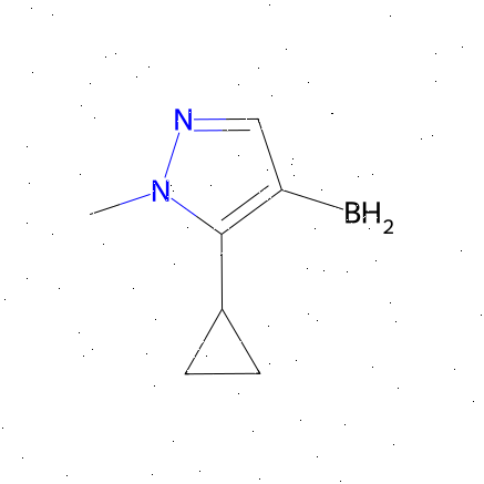 Bc1cnn(C)c1C1CC1